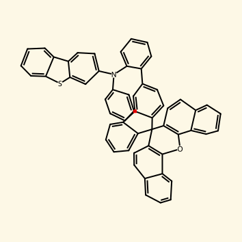 c1ccc(N(c2ccc3c(c2)sc2ccccc23)c2ccccc2-c2ccc3c(c2)-c2ccccc2C32c3ccc4ccccc4c3Oc3c2ccc2ccccc32)cc1